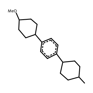 COC1CCC(c2ccc(C3CCC(C)CC3)cc2)CC1